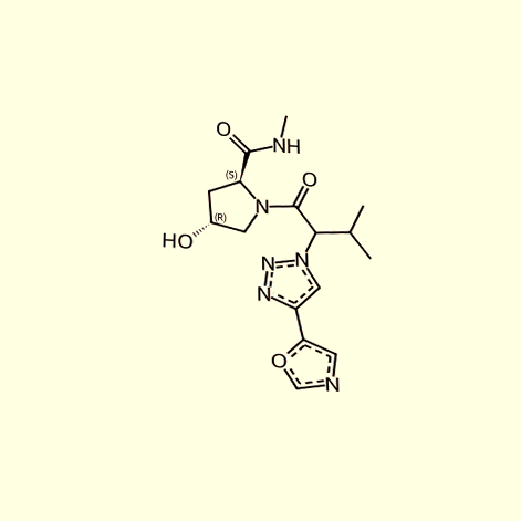 CNC(=O)[C@@H]1C[C@@H](O)CN1C(=O)C(C(C)C)n1cc(-c2cnco2)nn1